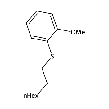 CCCCCCCCSc1ccccc1OC